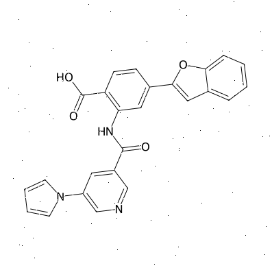 O=C(Nc1cc(-c2cc3ccccc3o2)ccc1C(=O)O)c1cncc(-n2cccc2)c1